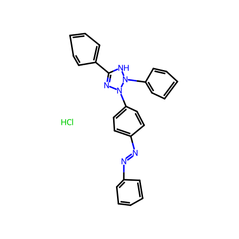 Cl.c1ccc(N=Nc2ccc(N3N=C(c4ccccc4)NN3c3ccccc3)cc2)cc1